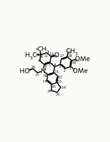 COc1cc(C2C3=C(CC(C)(C)CC3=O)N(CCO)c3cc4c(cc32)CCC4)cc(C)c1OC